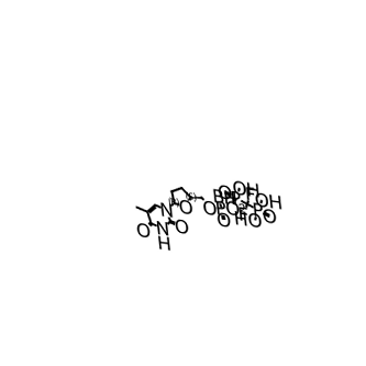 BP(=O)(OC[C@@H]1CC[C@H](n2cc(C)c(=O)[nH]c2=O)O1)OP(=O)(O)C(F)(F)P(=O)(O)O